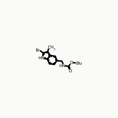 Cc1c(Br)[nH]c2ccc(CNC(=O)OC(C)(C)C)cc12